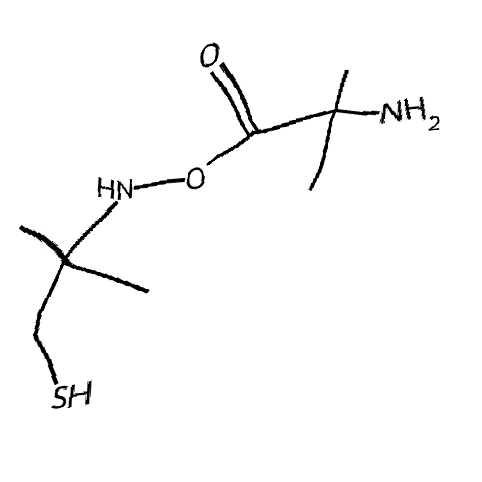 CC(C)(CS)NOC(=O)C(C)(C)N